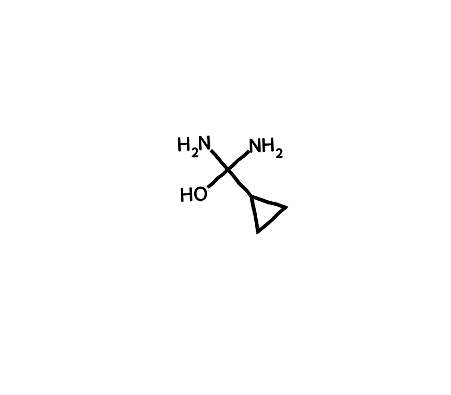 NC(N)(O)C1CC1